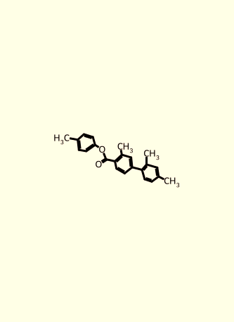 Cc1ccc(OC(=O)c2ccc(-c3ccc(C)cc3C)cc2C)cc1